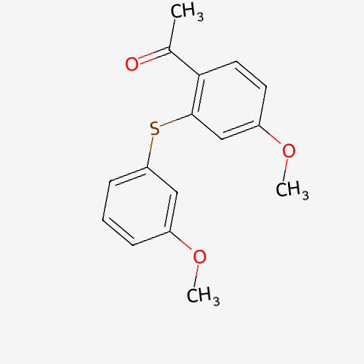 COc1cccc(Sc2cc(OC)ccc2C(C)=O)c1